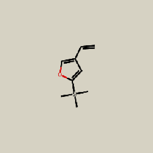 C=Cc1coc([Si](C)(C)C)c1